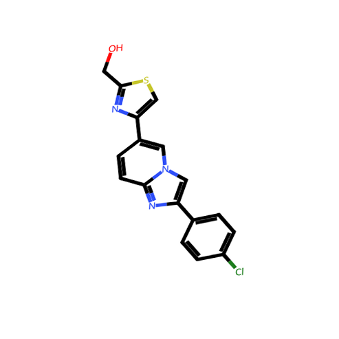 OCc1nc(-c2ccc3nc(-c4ccc(Cl)cc4)cn3c2)cs1